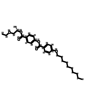 CCCCCCCCCCOc1ccc(C(=O)Oc2ccc(C(=O)O[C@@H](C)COCC)cc2)cc1